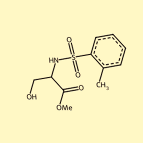 COC(=O)C(CO)NS(=O)(=O)c1ccccc1C